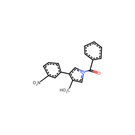 O=C(O)c1cn(C(=O)c2ccccc2)cc1-c1cccc([N+](=O)[O-])c1